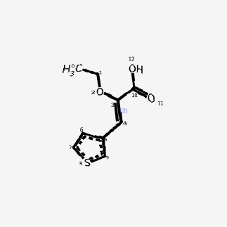 CCO/C(=C\c1ccsc1)C(=O)O